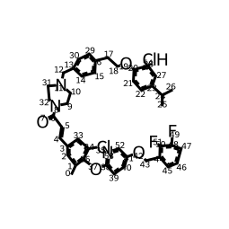 Cc1cc(/C=C/C(=O)N2CCN(Cc3ccc(CCOc4ccc(C(C)C)cc4)cc3)CC2)cc(Cl)c1Oc1ccc(OCc2cccc(F)c2F)cn1.Cl